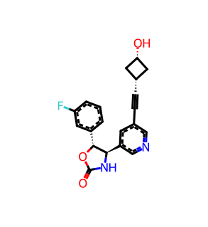 O=C1N[C@H](c2cncc(C#C[C@H]3C[C@@H](O)C3)c2)[C@@H](c2cccc(F)c2)O1